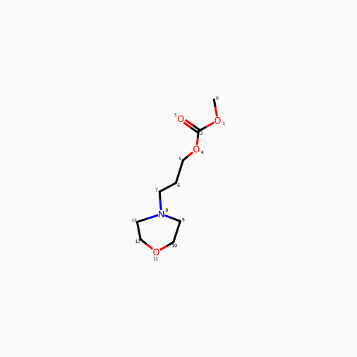 COC(=O)OCCCN1CCOCC1